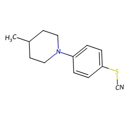 CC1CCN(c2ccc(SC#N)cc2)CC1